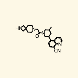 CC1CC(c2ccc(C#N)c3ncccc23)CN(C(=O)CN2CCC3(CC2)CNC3)C1